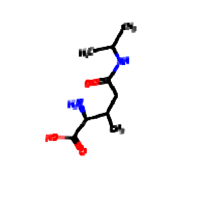 CC(C)NC(=O)CC(C)[C@H](N)C(=O)O